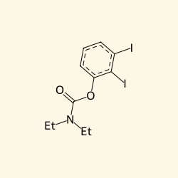 CCN(CC)C(=O)Oc1cccc(I)c1I